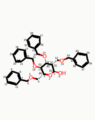 O[C@H]1O[C@H](COCc2ccccc2)[C@@H](OCc2ccccc2)[C@H](OCc2ccccc2)[C@@H]1COCc1ccccc1